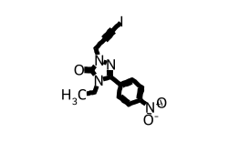 CCn1c(-c2ccc([N+](=O)[O-])cc2)nn(CC#CI)c1=O